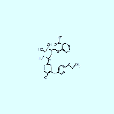 CCOc1ccc(Cc2cc([C@@H]3O[C@H](CSc4ccccc4C(=O)O)C(O)C(O)C3O)ccc2Cl)cc1